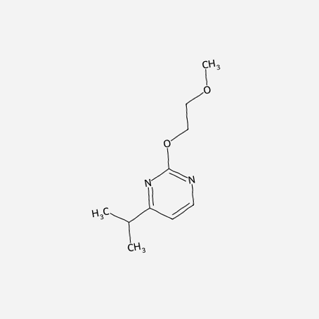 COCCOc1nccc(C(C)C)n1